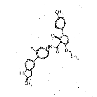 C=C1Cc2cc(-c3ccc(NC(=O)c4c(OCC)ccn(-c5ccc(C)cc5)c4=O)cc3F)ccc2N1